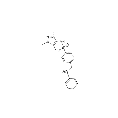 Cc1nn(C)c(C)c1NS(=O)(=O)c1ccc(CNc2ccccc2)cc1